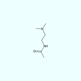 [CH2]C(=O)NCCN(C)C